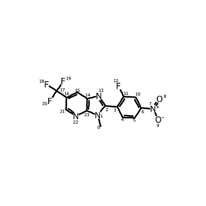 Cn1c(-c2ccc([N+](=O)[O-])cc2F)nc2cc(C(F)(F)F)cnc21